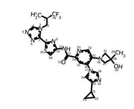 C[C@H](Cn1cnnc1-c1nc(NC(=O)c2cc(-n3cnc(C4CC4)c3)c(N3CC(C)(O)C3)cn2)cs1)C(F)(F)F